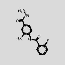 Cc1cc(C(=O)NN)ccc1NC(=O)c1ccccc1F